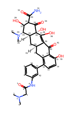 CN(C)CC(=O)Nc1cccc(-c2ccc(O)c3c2C[C@H]2C[C@H]4[C@H](N(C)C)C(O)C(C(N)=O)C(=O)[C@@]4(O)C(O)=C2C3=O)c1